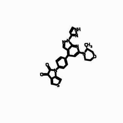 C[C@@H]1COCCN1c1cc(-c2ccc(N3C(=O)C(=O)c4cscc43)cc2)c2cnn(-c3cc[nH]n3)c2n1